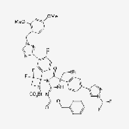 CCOC(=O)N1CC(F)(F)C1(c1ccc(Cl)c(-c2ncn(Cc3ccc(OC)cc3OC)n2)c1)N1C(=O)C(CC(C)(C)C)(c2ccc(-c3cnn(C(F)F)c3)cc2)NC1=NC(=O)OCc1ccccc1